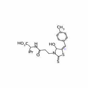 Cc1ccc(/C=C2/SC(=S)N(CCC(=O)NC(C(=O)O)C(C)C)C2O)cc1